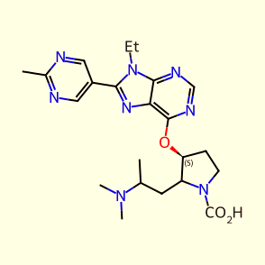 CCn1c(-c2cnc(C)nc2)nc2c(O[C@H]3CCN(C(=O)O)C3CC(C)N(C)C)ncnc21